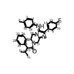 Cc1ccc(Nc2c(-c3ccc(F)cc3)nc3n2CCN(C(=O)C(c2ccccc2)C(C)C)C3)cc1